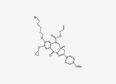 C=CCOC(=O)N1C[C@@H]2CC(c3ccc(OC)cc3)=CN2C(=O)c2cc(OC3CC3)c(OCCCCCBr)cc21